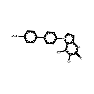 COc1ccc(-c2ccc(-n3ccc4[nH]c(=O)c(C#N)c(O)c43)cc2)cc1